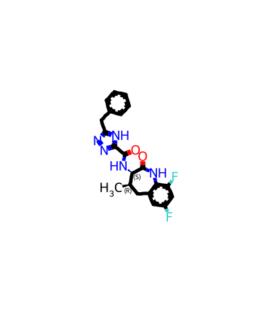 C[C@@H]1Cc2cc(F)cc(F)c2NC(=O)[C@H]1NC(=O)c1nnc(Cc2ccccc2)[nH]1